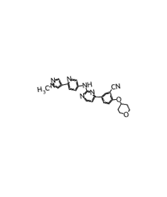 Cn1cc(-c2ccc(Nc3nccc(-c4ccc(OC5CCOCC5)c(C#N)c4)n3)cn2)cn1